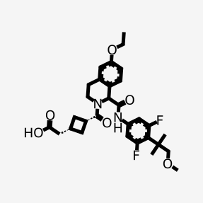 CCOc1ccc2c(c1)CCN(C(=O)[C@H]1C[C@@H](CC(=O)O)C1)C2C(=O)Nc1cc(F)c(C(C)(C)COC)c(F)c1